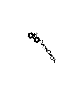 Cn1c2ccccc2c2ccc(OCCOCCOCCOSI)cc21